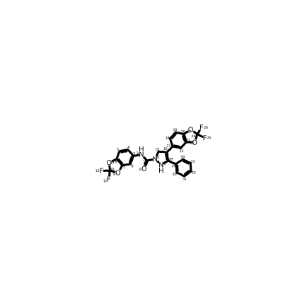 O=C(Nc1ccc2c(c1)OC(F)(F)O2)N1CC(c2ccc3c(c2)OC(F)(F)O3)=C(c2ccccc2)N1